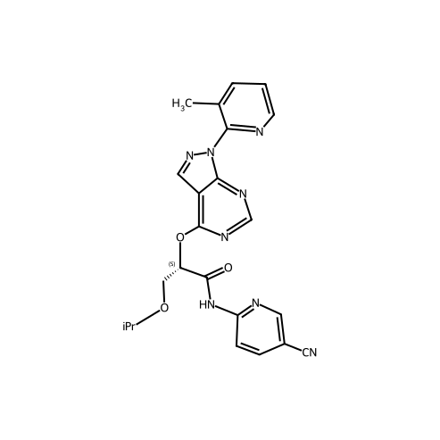 Cc1cccnc1-n1ncc2c(O[C@@H](COC(C)C)C(=O)Nc3ccc(C#N)cn3)ncnc21